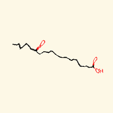 CCCCCC(=O)CCCCCCCCCCCC(=O)O